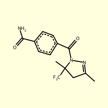 CC1=NN(C(=O)c2ccc(C(N)=O)cc2)C(C)(C(F)(F)F)C1